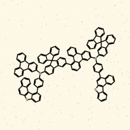 c1ccc2c(c1)-c1ccccc1C21c2ccccc2-c2ccc(N(c3ccc(-c4cc5sc6ccccc6c5c5ccccc45)cc3)c3ccc4c5ccccc5c5c(-c6ccc7c(c6)-c6ccc(N(c8ccc(-c9cccc%10sc%11ccc%12ccccc%12c%11c9%10)cc8)c8ccc9c%10ccccc%10c%10ccccc%10c9c8)cc6C76c7ccccc7-c7ccccc76)cccc5c4c3)cc21